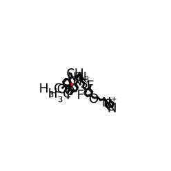 COc1ccc(N(C)c2cnc(SCc3c(F)cc(OCCC[N+]45CCN(CC4)CC5)cc3F)n2-c2ccc(F)cc2)cc1OC